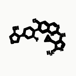 Cn1ncc(Nc2ncc3cc(Cl)c([C@@H]4CCN([C@H]5COC[C@H]5O)C[C@H]4F)cc3n2)c1C1CC1